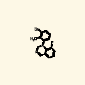 Cc1c(Br)cccc1N1CN=Cc2cccc(F)c21